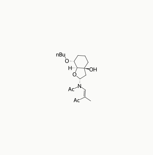 CCCCO[C@@H]1CCC[C@]2(O)C[C@H](N(/C=C(/C)C(C)=O)C(C)=O)O[C@@H]12